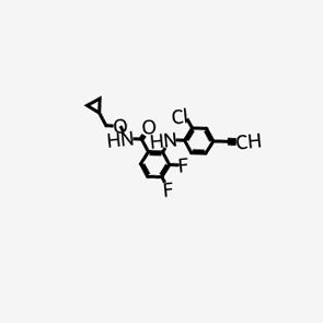 C#Cc1ccc(Nc2c(C(=O)NOCC3CC3)ccc(F)c2F)c(Cl)c1